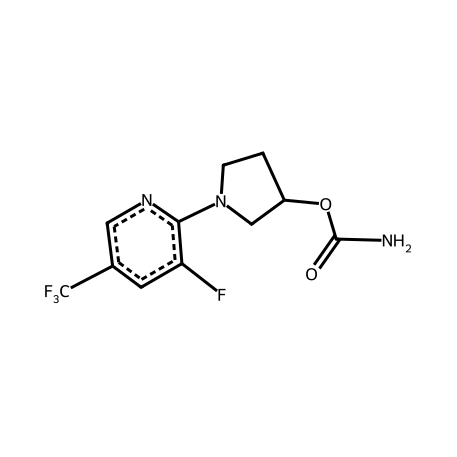 NC(=O)OC1CCN(c2ncc(C(F)(F)F)cc2F)C1